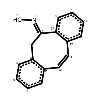 ON=C1Cc2ccccc2C=Cc2ccccc21